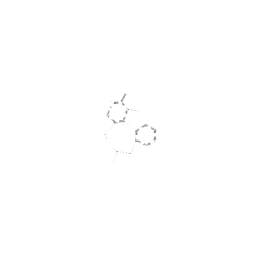 CC1Cc2ccccc2-c2c(c[nH]c(=O)c2Cl)CO1